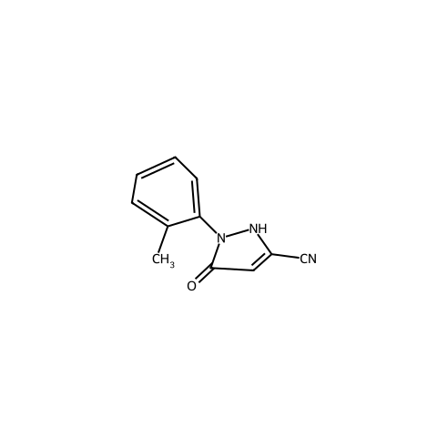 Cc1ccccc1-n1[nH]c(C#N)cc1=O